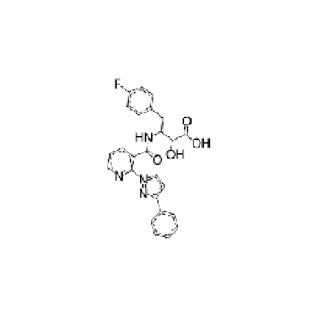 O=C(NC(Cc1ccc(F)cc1)C(O)C(=O)O)c1cccnc1-n1ccc(-c2ccccc2)n1